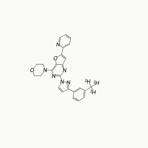 [2H]C([2H])([2H])c1cccc(-c2ccn(-c3nc(N4CCOCC4)c4oc(-c5ccccn5)cc4n3)n2)c1